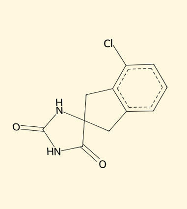 O=C1NC(=O)C2(Cc3cccc(Cl)c3C2)N1